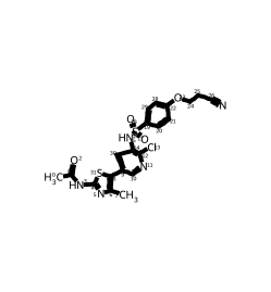 CC(=O)Nc1nc(C)c(-c2cnc(Cl)c(NS(=O)(=O)c3ccc(OCCC#N)cc3)c2)s1